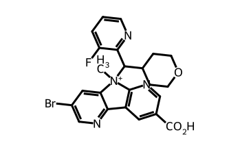 C[N+]1(C(c2ncccc2F)C2CCOCC2)c2cc(Br)cnc2-c2cc(C(=O)O)cnc21